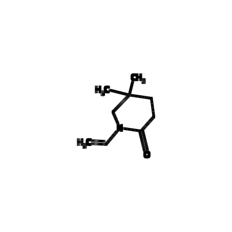 C=CN1CC(C)(C)CCC1=O